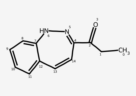 CCC(=O)C1=NNc2ccccc2C=C1